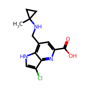 CC1(NCc2cc(C(=O)O)nc3c(Cl)c[nH]c23)CC1